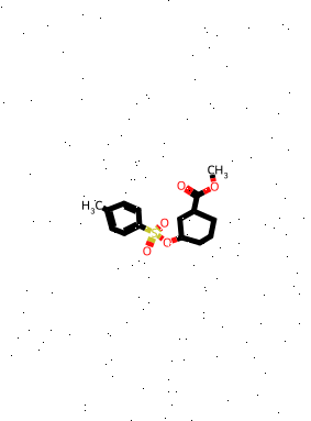 COC(=O)C1CCCC(OS(=O)(=O)c2ccc(C)cc2)C1